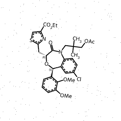 CCOC(=O)c1csc(C[C@H]2O[C@H](c3cccc(OC)c3OC)c3cc(Cl)ccc3N(CC(C)(C)COC(C)=O)C2=O)n1